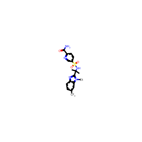 CCn1c(C(C)(C)NS(=O)(=O)c2ccc(C(N)=O)nc2)nc2ccc(C(F)(F)F)cc21